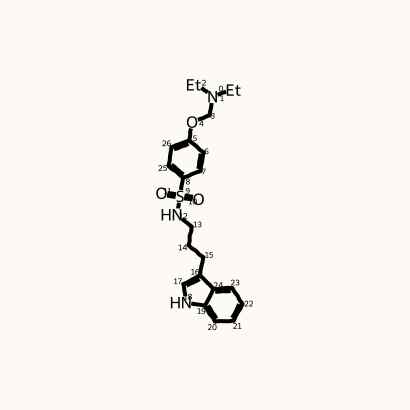 CCN(CC)COc1ccc(S(=O)(=O)NCCCc2c[nH]c3ccccc23)cc1